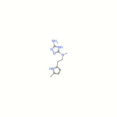 Cc1ccc(CCN(C)c2nnc(N)[nH]2)[nH]1